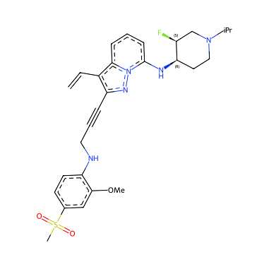 C=Cc1c(C#CCNc2ccc(S(C)(=O)=O)cc2OC)nn2c(N[C@@H]3CCN(C(C)C)C[C@@H]3F)cccc12